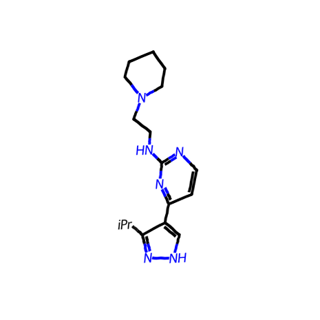 CC(C)c1n[nH]cc1-c1ccnc(NCCN2CCCCC2)n1